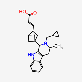 CC1Cc2c([nH]c3ccccc23)C(C23CC(/C=C/C(=O)O)C(C2)C3)N1CC1CC1